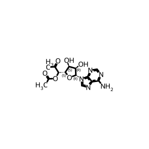 CC(=O)OC(C(C)=O)[C@H]1O[C@@H](n2cnc3c(N)ncnc32)[C@H](O)[C@@H]1O